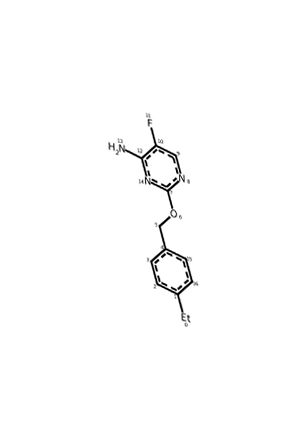 CCc1ccc(COc2ncc(F)c(N)n2)cc1